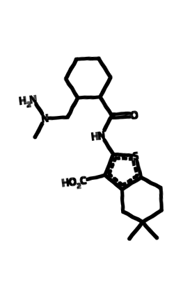 CN(N)CC1CCCCC1C(=O)Nc1sc2c(c1C(=O)O)CC(C)(C)CC2